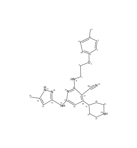 Cc1ccc(OCCNc2nc(Nc3cc(C)[nH]n3)cc(C3CCNCC3)c2C#N)cc1